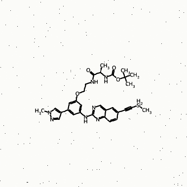 C[SiH2]C#Cc1ccc2nc(Nc3cc(OCCNC(=O)[C@@H](C)NC(=O)OC(C)(C)C)cc(-c4cnn(C)c4)c3)ncc2c1